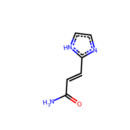 NC(=O)C=Cc1ncc[nH]1